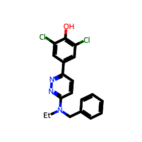 CCN(Cc1ccccc1)c1ccc(-c2cc(Cl)c(O)c(Cl)c2)nn1